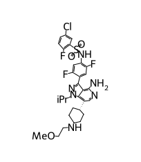 COCCN[C@H]1CC[C@H](c2cnc(N)c3c(-c4cc(F)c(NS(=O)(=O)c5cc(Cl)ccc5F)cc4F)nn(C(C)C)c32)CC1